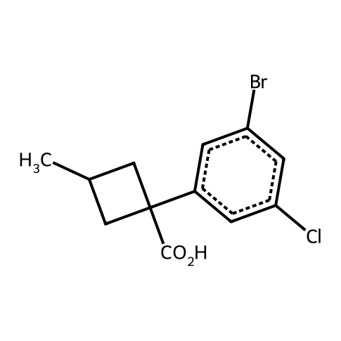 CC1CC(C(=O)O)(c2cc(Cl)cc(Br)c2)C1